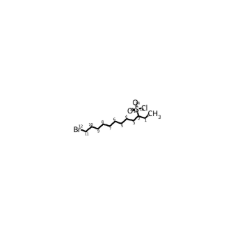 CCC(CCCCCCCCCBr)S(=O)(=O)Cl